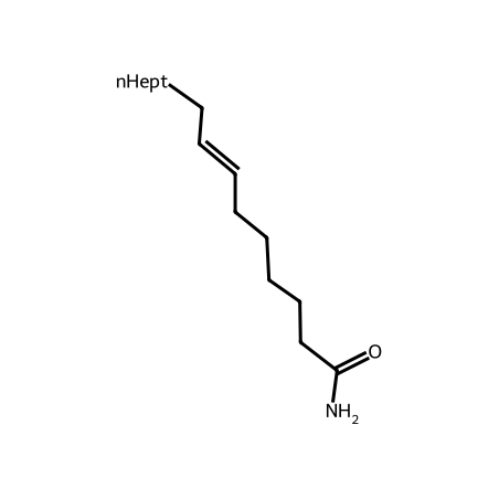 CCCCCCCCC=CCCCCCC(N)=O